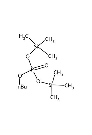 CCCCOP(=O)(O[Si](C)(C)C)O[Si](C)(C)C